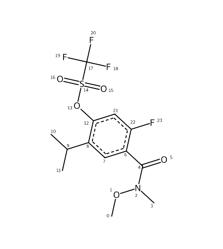 CON(C)C(=O)c1cc(C(C)C)c(OS(=O)(=O)C(F)(F)F)cc1F